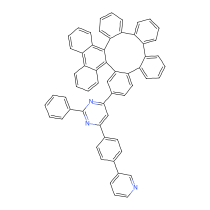 c1ccc(-c2nc(-c3ccc(-c4cccnc4)cc3)cc(-c3ccc4c5ccccc5c5ccccc5c5ccccc5c5c6ccccc6c6ccccc6c5c4c3)n2)cc1